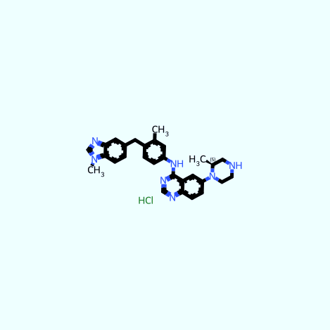 Cc1cc(Nc2ncnc3ccc(N4CCNC[C@@H]4C)cc23)ccc1Cc1ccc2c(c1)ncn2C.Cl